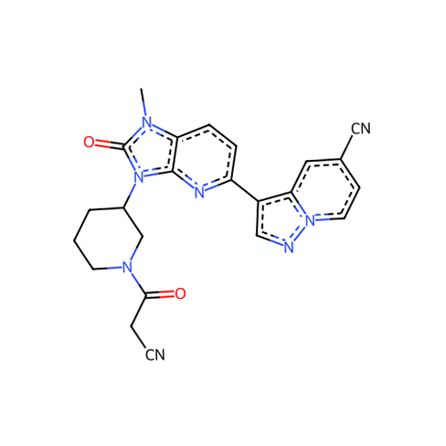 Cn1c(=O)n(C2CCCN(C(=O)CC#N)C2)c2nc(-c3cnn4ccc(C#N)cc34)ccc21